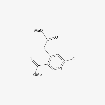 COC(=O)Cc1cc(Cl)ncc1C(=O)OC